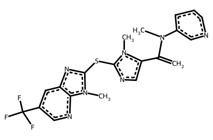 C=C(c1cnc(Sc2nc3cc(C(F)(F)F)cnc3n2C)n1C)N(C)c1cccnc1